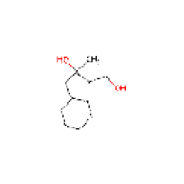 CC(O)(CCO)CC1CCCCC1